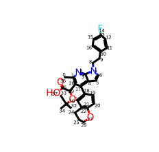 Cc1nc2c(ccn2CCc2ccc(F)cc2)c(-c2ccc3c(c2)CCCO3)c1C(OC(C)(C)C)C(=O)O